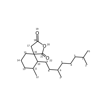 CC(C)CCCC(C)CCC1C(C)CCCC12CC(=O)OC2=O